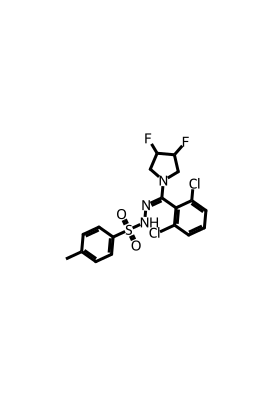 Cc1ccc(S(=O)(=O)N/N=C(\c2c(Cl)cccc2Cl)N2CC(F)C(F)C2)cc1